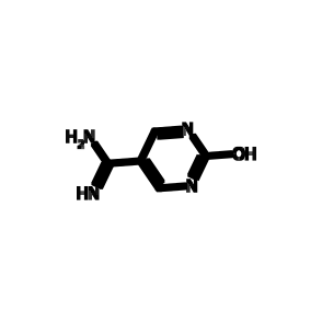 N=C(N)c1cnc(O)nc1